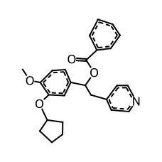 COc1ccc(C(Cc2ccncc2)OC(=O)c2ccccc2)cc1OC1CCCC1